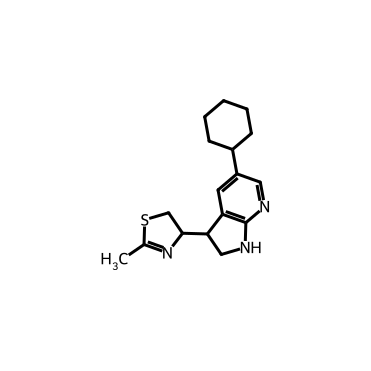 CC1=NC(C2CNc3ncc(C4CCCCC4)cc32)CS1